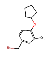 FC(F)(F)c1cc(CBr)ccc1OC1CCCC1